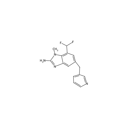 Cn1c(N)nc2cc(Cc3cccnc3)cc(C(F)F)c21